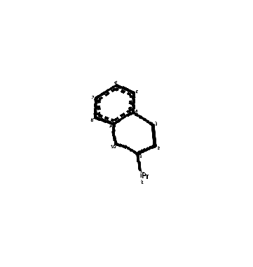 CC(C)C1CCc2ccccc2C1